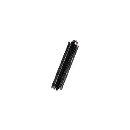 C[SiH](C)O[Si](C)(C)[Si](C)(C)[Si](C)(C)[Si](C)(C)[Si](C)(C)[Si](C)(C)[Si](C)(C)[Si](C)(C)[Si](C)(C)[Si](C)(C)[Si](C)(C)[Si](C)(C)[Si](C)(C)[Si](C)(C)[Si](C)(C)[Si](C)(C)[Si](C)(C)[Si](C)(C)[Si](C)(C)[Si](C)(C)[Si](C)(C)[Si](C)(C)[Si](C)(C)[Si](C)(C)[Si](C)(C)[Si](C)(C)[Si](C)(C)[Si](C)(C)[Si](C)(C)[Si](C)(C)[Si](C)(C)[Si](C)(C)[Si](C)(C)[Si](C)(C)[Si](C)(C)[Si](C)(C)[Si](C)(C)[Si](C)(C)[Si](C)(C)[SiH](C)C